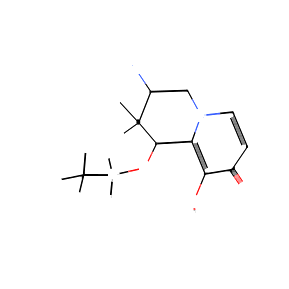 COc1c2n(ccc1=O)CC(N)C(C)(C)C2O[Si](C)(C)C(C)(C)C